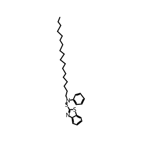 CCCCCCCCCCCCCCCCCCN(Sc1nc2ccccc2s1)c1ccccc1